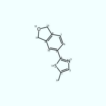 Cc1cnc(-c2ccc3c(c2)COC3)s1